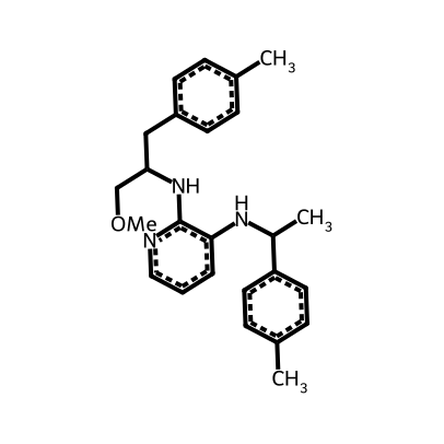 COCC(Cc1ccc(C)cc1)Nc1ncccc1NC(C)c1ccc(C)cc1